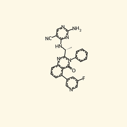 C[C@@H](Nc1nc(N)ncc1C#N)c1nc2cccc(-c3cncc(F)c3)c2c(=O)n1-c1ccccc1